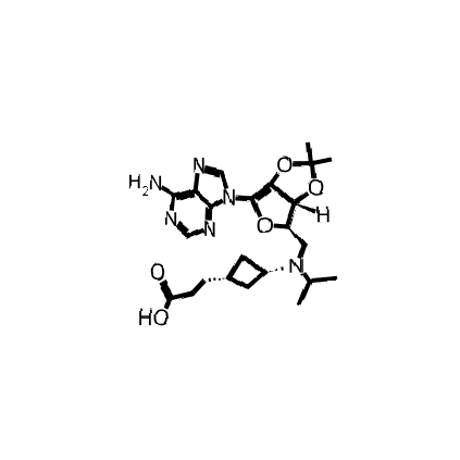 CC(C)N(C[C@H]1OC(n2cnc3c(N)ncnc32)=C2OC(C)(C)O[C@@H]21)[C@H]1C[C@@H](CCC(=O)O)C1